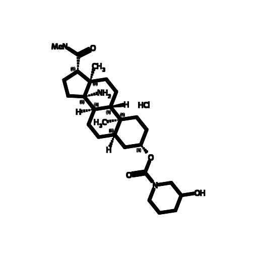 CNC(=O)[C@H]1CC[C@]2(N)[C@@H]3CC[C@@H]4C[C@@H](OC(=O)N5CCCC(O)C5)CC[C@]4(C)[C@H]3CC[C@]12C.Cl